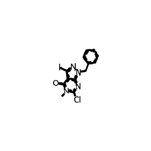 Cn1c(Cl)nc2c(c(I)nn2Cc2ccccc2)c1=O